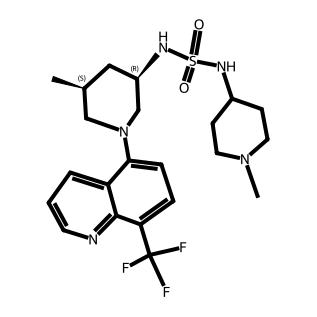 C[C@H]1C[C@@H](NS(=O)(=O)NC2CCN(C)CC2)CN(c2ccc(C(F)(F)F)c3ncccc23)C1